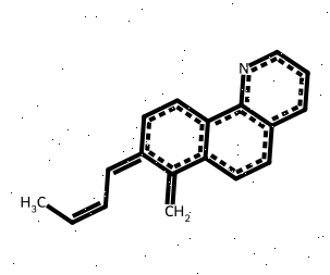 C=c1/c(=C\C=C/C)ccc2c1ccc1cccnc12